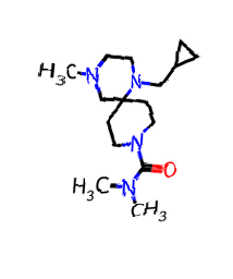 CN1CCN(CC2CC2)C2(CCN(C(=O)N(C)C)CC2)C1